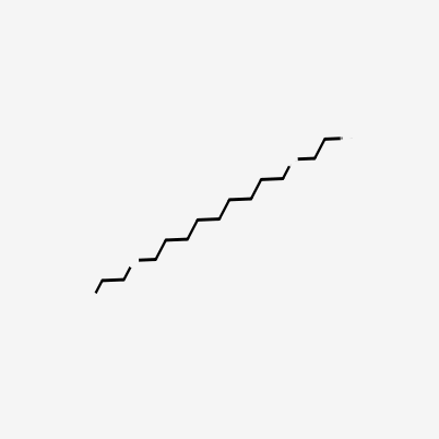 OCCSCCCCCCCCCSCCO